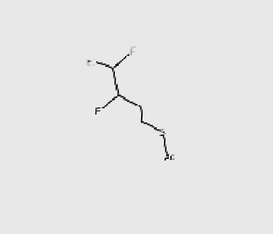 CCC(F)C(F)CCSC(C)=O